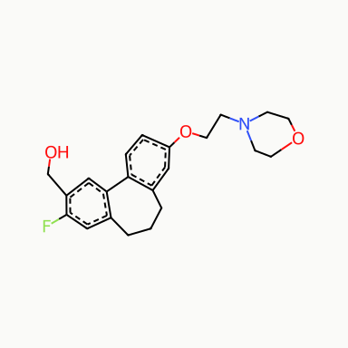 OCc1cc2c(cc1F)CCCc1cc(OCCN3CCOCC3)ccc1-2